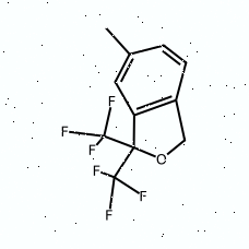 Cc1ccc2c(c1)C(C(F)(F)F)(C(F)(F)F)OC2